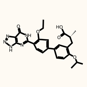 CCOc1cc(-c2ccc(OC(C)C)c(C[C@@H](C)C(=O)O)c2)ccc1-c1nc2[nH]nnc2c(=O)[nH]1